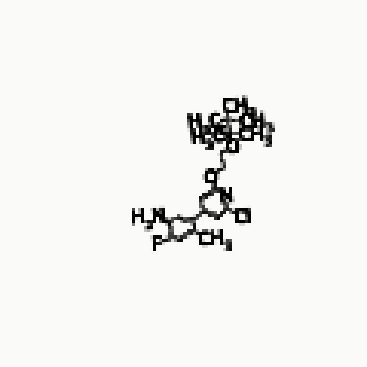 Cc1cc(F)c(N)cc1-c1cc(Cl)nc(OCCO[Si](C)(C)C(C)(C)C)c1